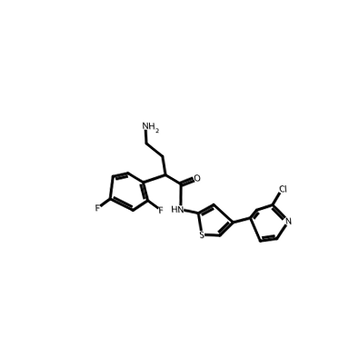 NCCC(C(=O)Nc1cc(-c2ccnc(Cl)c2)cs1)c1ccc(F)cc1F